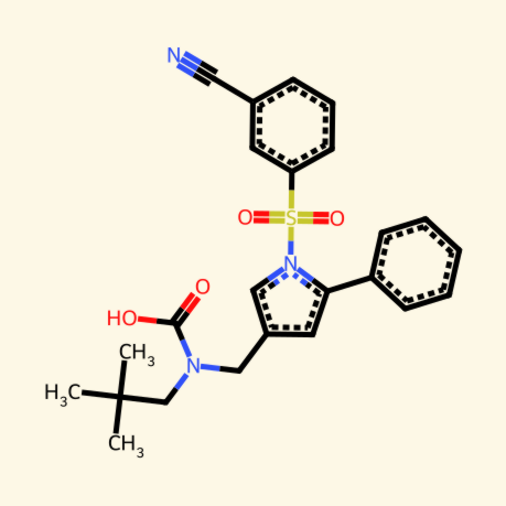 CC(C)(C)CN(Cc1cc(-c2ccccc2)n(S(=O)(=O)c2cccc(C#N)c2)c1)C(=O)O